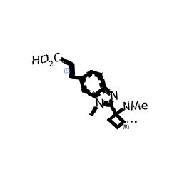 CNC1(c2nc3ccc(/C=C/C(=O)O)cc3n2C)CC[C@H]1C